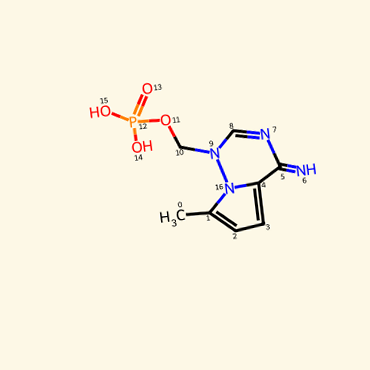 Cc1ccc2c(=N)ncn(COP(=O)(O)O)n12